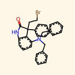 O=C1Nc2cccc(N(Cc3ccccc3)Cc3ccccc3)c2C1(CCBr)c1ccccc1